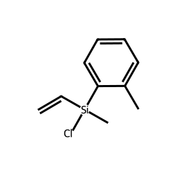 C=C[Si](C)(Cl)c1ccccc1C